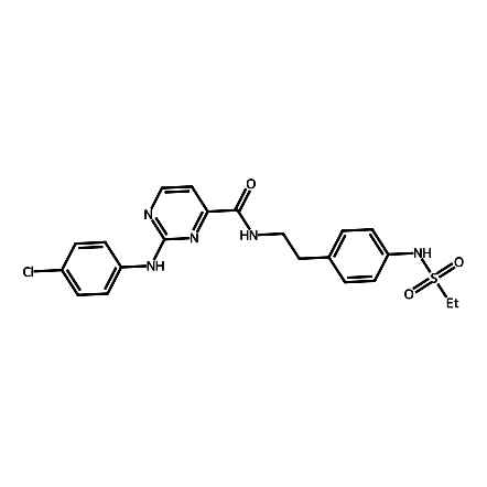 CCS(=O)(=O)Nc1ccc(CCNC(=O)c2ccnc(Nc3ccc(Cl)cc3)n2)cc1